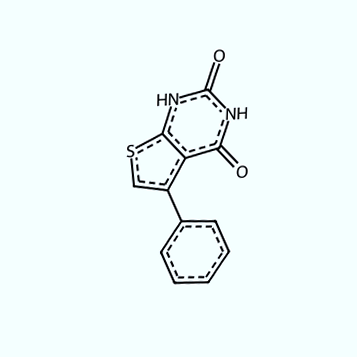 O=c1[nH]c(=O)c2c(-c3ccccc3)csc2[nH]1